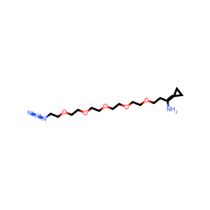 [N-]=[N+]=NCCOCCOCCOCCOCCOCCC(N)=C1CC1